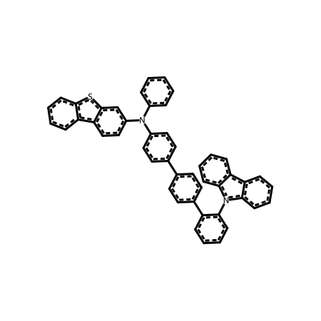 c1ccc(N(c2ccc(-c3ccc(-c4ccccc4-n4c5ccccc5c5ccccc54)cc3)cc2)c2ccc3c(c2)sc2ccccc23)cc1